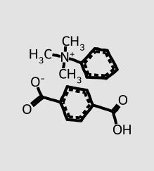 C[N+](C)(C)c1ccccc1.O=C([O-])c1ccc(C(=O)O)cc1